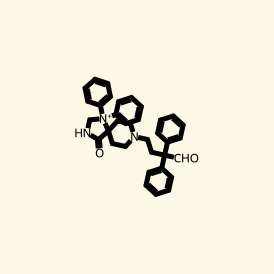 O=CC(CCN1CCC2(CC1)C(=O)NC[N+]2(c1ccccc1)c1ccccc1)(c1ccccc1)c1ccccc1